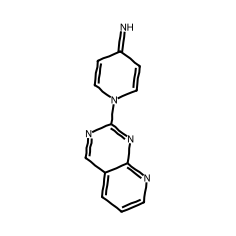 N=c1ccn(-c2ncc3cccnc3n2)cc1